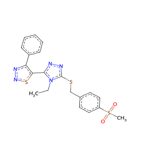 CCn1c(SCc2ccc(S(C)(=O)=O)cc2)nnc1-c1snnc1-c1ccccc1